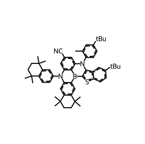 Cc1cc(C(C)(C)C)ccc1N1c2cc(C#N)cc3c2B(c2cc4c(cc2N3c2ccc3c(c2)C(C)(C)CCC3(C)C)C(C)(C)CCC4(C)C)c2sc3ccc(C(C)(C)C)cc3c21